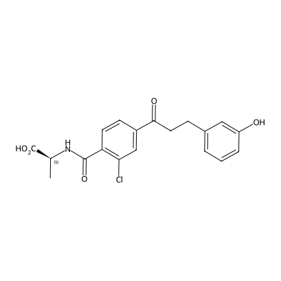 C[C@H](NC(=O)c1ccc(C(=O)CCc2cccc(O)c2)cc1Cl)C(=O)O